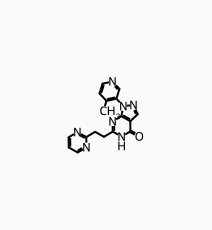 Cc1ccncc1-n1ncc2c(=O)[nH]c(CCc3ncccn3)nc21